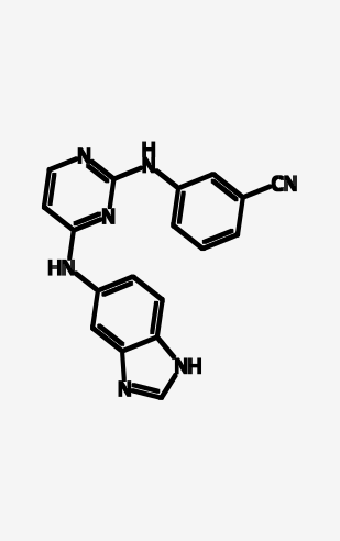 N#Cc1cccc(Nc2nccc(Nc3ccc4[nH]cnc4c3)n2)c1